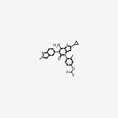 Cc1cc(OC(F)F)ccc1-n1c(=O)c(-c2ccc3nn(C)cc3c2)c(N)c2sc(C3CC3)cc21